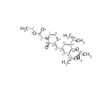 CCOC(=O)CN1C=CSC(=Cc2cc(C(C)C)c(OC(C)=O)c(C(C)C)c2)C1=O